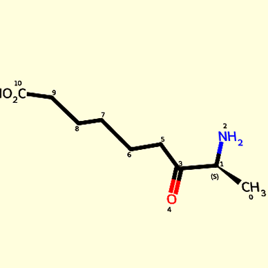 C[C@H](N)C(=O)CCCCCC(=O)O